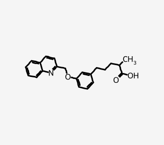 CC(CCCc1cccc(OCc2ccc3ccccc3n2)c1)C(=O)O